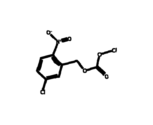 O=C(OCl)OCc1cc(Cl)ccc1[N+](=O)[O-]